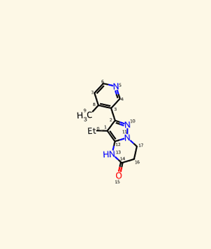 CCc1c(-c2cnccc2C)nn2c1NC(=O)CC2